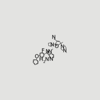 CN1CCN(C(C)(C)/C=C(/C#N)C(=O)N2CCC[C@H]2Cn2nc(-c3ccc(Oc4ccccc4)cc3F)c3c(N)nccc32)CC1